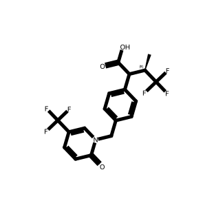 C[C@H](C(C(=O)O)c1ccc(Cn2cc(C(F)(F)F)ccc2=O)cc1)C(F)(F)F